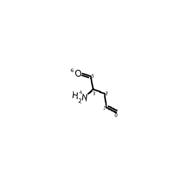 C=CCC(N)[C]=O